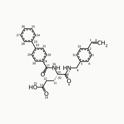 C=Cc1ccc(CNC(=O)[C@H](CCC(=O)O)NC(=O)c2ccc(-c3ccccc3)cc2)cc1